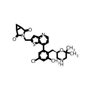 Cc1cc(Cl)cc(-c2ccnc3cc(CN4C(=O)C5CC5C4=O)sc23)c1C[C@@H]1CNCC(C)(C)O1